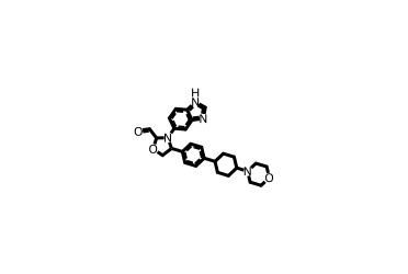 O=CC1OCC(c2ccc(C3CCC(N4CCOCC4)CC3)cc2)N1c1ccc2[nH]cnc2c1